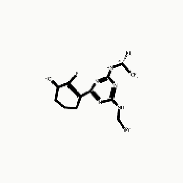 CC[C@@H](Nc1nc(NCC(C)C)nc(C2=C(F)C(O)CCC2)n1)C(F)(F)F